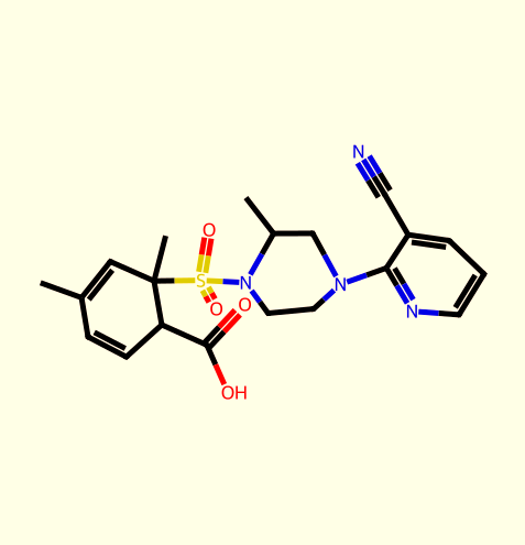 CC1=CC(C)(S(=O)(=O)N2CCN(c3ncccc3C#N)CC2C)C(C(=O)O)C=C1